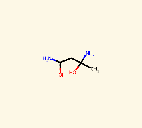 CC(N)(O)CC(N)O